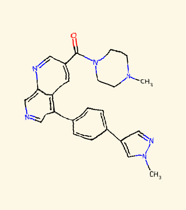 CN1CCN(C(=O)c2cnc3cncc(-c4ccc(-c5cnn(C)c5)cc4)c3c2)CC1